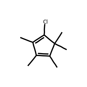 CC1=C(C)C(C)(C)C(Cl)=C1C